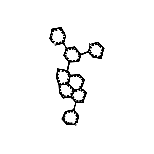 c1ccc(-c2cc(-c3ccccn3)cc(-c3ccc4ccc5c(-c6cccnc6)ccc6ccc3c4c65)c2)nc1